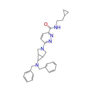 O=C(NCCC1CC1)c1ccc(N2CC3C(C2)C3N(Cc2ccccc2)Cc2ccccc2)nn1